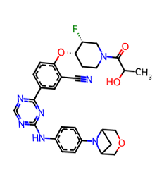 CC(O)C(=O)N1CC[C@H](Oc2ccc(-c3ncnc(Nc4ccc(N5C6COCC5C6)cc4)n3)cc2C#N)[C@H](F)C1